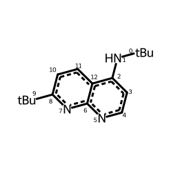 CC(C)(C)Nc1ccnc2nc(C(C)(C)C)ccc12